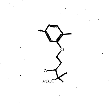 Cc1ccc(C)c(OCCC(Cl)C(C)(C)C(=O)O)c1